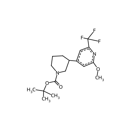 COc1cc(C2CCCN(C(=O)OC(C)(C)C)C2)cc(C(F)(F)F)n1